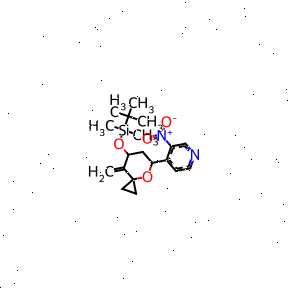 C=C1C(O[Si](C)(C)C(C)(C)C)CC(c2ccncc2[N+](=O)[O-])OC12CC2